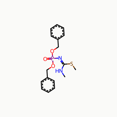 CNC(=NP(=O)(OCc1ccccc1)OCc1ccccc1)SC